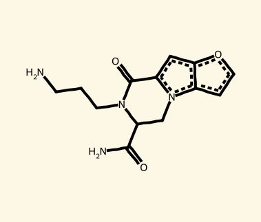 NCCCN1C(=O)c2cc3occc3n2CC1C(N)=O